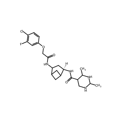 CC1NCC(C(=O)N[C@@H]2CC(NC(=O)COc3ccc(Cl)c(F)c3)C3CC2C3)C(C)N1